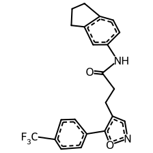 O=C(CCc1cnoc1-c1ccc(C(F)(F)F)cc1)Nc1ccc2c(c1)CCC2